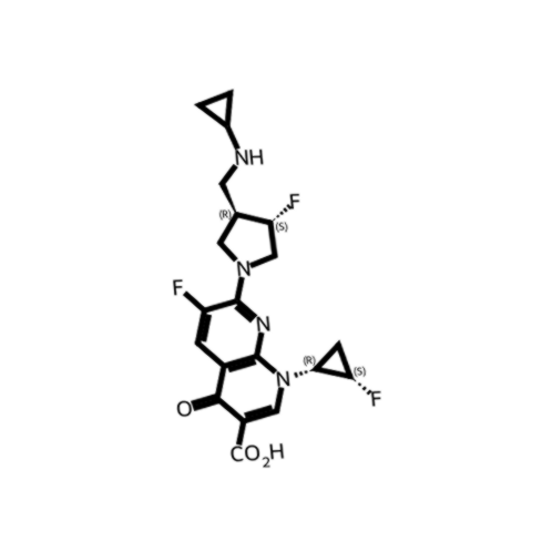 O=C(O)c1cn([C@@H]2C[C@@H]2F)c2nc(N3C[C@@H](CNC4CC4)[C@H](F)C3)c(F)cc2c1=O